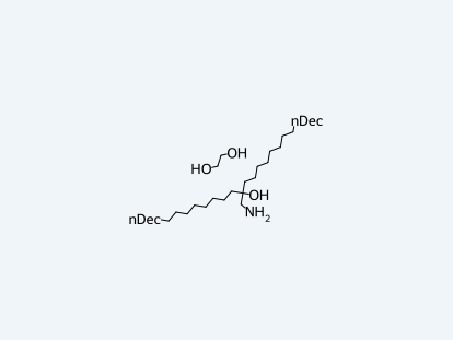 CCCCCCCCCCCCCCCCCCC(O)(CN)CCCCCCCCCCCCCCCCCC.OCCO